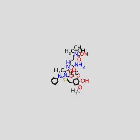 COc1cc(C=C2SC(=Nc3ccccc3)N(C(C)C(=O)NC(CCCN(C(=O)O)C(C)(C)C)C(N)=O)C2=O)cc(OC)c1O